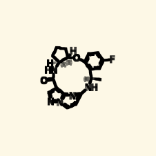 C[C@H]1Nc2ccn3ncc(c3n2)C(=O)N[C@H]2CCC[C@@H]2Oc2ccc(F)cc21